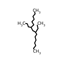 CCCCCCCC(CCC)CC(CCC)CCCCCC